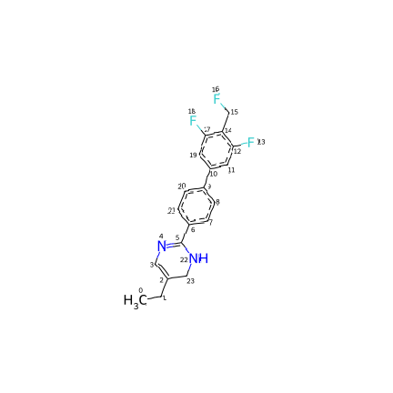 CCC1=CN=C(c2ccc(-c3cc(F)c(CF)c(F)c3)cc2)NC1